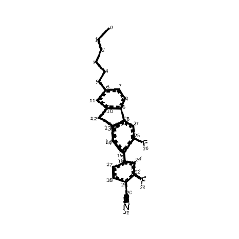 CCCCCCc1ccc2c(c1)Cc1cc(-c3ccc(C#N)c(F)c3)c(F)cc1-2